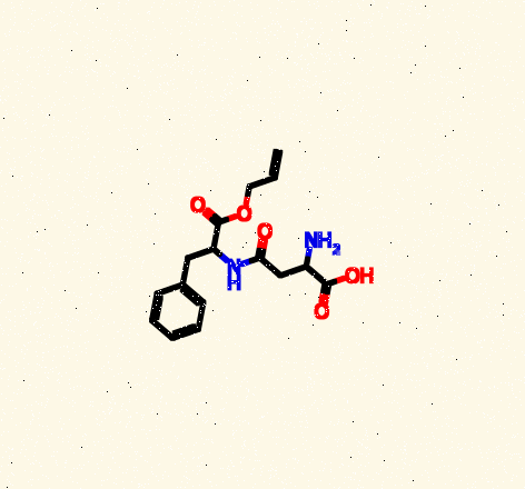 C=CCOC(=O)C(Cc1ccccc1)NC(=O)CC(N)C(=O)O